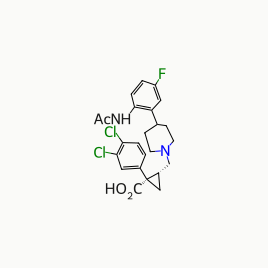 CC(=O)Nc1ccc(F)cc1C1CCN(C[C@@H]2C[C@@]2(C(=O)O)c2ccc(Cl)c(Cl)c2)CC1